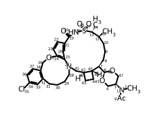 CC(=O)N(C)[C@H]1CO[C@@H]([C@@H]2CCC[C@H](C)[C@@H](C)S(=O)(=O)NC(=O)c3ccc4c(c3)N(CCCCc3cc(Cl)ccc3CO4)C[C@@H]3CC[C@H]32)OC1